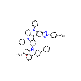 CC(C)(C)c1ccc(N(c2ccc3c(c2)N(c2ccccc2)c2cccc4c2B3c2cc3nn(-c5ccc(C(C)(C)C)cc5)nc3cc2N4c2ccccc2)c2cc(-c3ccccc3)ccc2-c2ccccc2)cc1